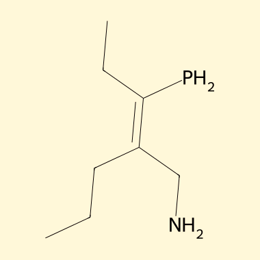 CCC/C(CN)=C(/P)CC